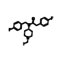 O=C(Cc1ccc(F)cc1)N(Cc1ccc(F)cc1)C1CCN(CI)CC1